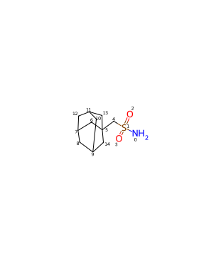 NS(=O)(=O)CC12CC3CC(CC(C3)C1)C2